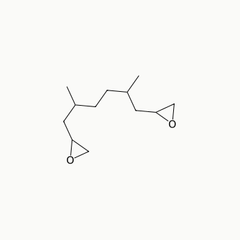 CC(CCC(C)CC1CO1)CC1CO1